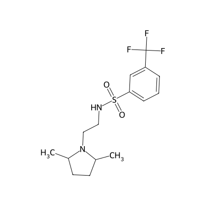 CC1CCC(C)N1CCNS(=O)(=O)c1cccc(C(F)(F)F)c1